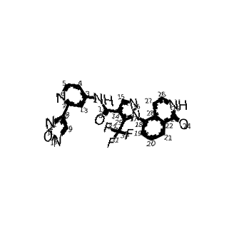 O=C(Nc1ccnc(-c2cnon2)c1)c1cnn(-c2cccc3c(=O)[nH]ccc23)c1C(F)(F)F